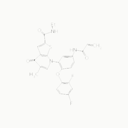 C=CC(=O)Nc1ccc(Oc2ccc(F)cc2F)c(-n2cc(C)c(=O)c3cc(C(=O)NCC)sc32)c1